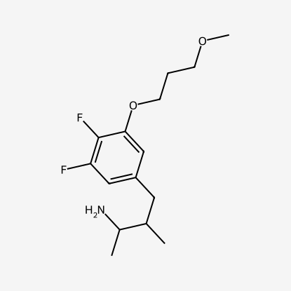 COCCCOc1cc(CC(C)C(C)N)cc(F)c1F